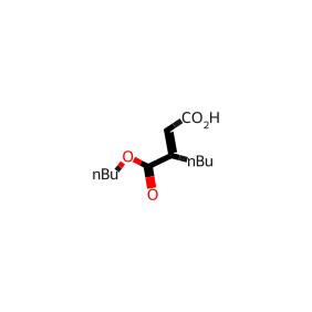 CCCCOC(=O)C(=CC(=O)O)CCCC